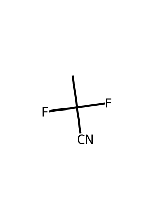 CC(F)(F)C#N